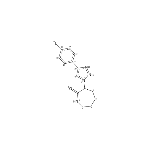 O=C1NCCCCC1n1cc(-c2ccc(I)cc2)nn1